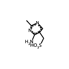 Cc1ncc(CS(=O)(=O)O)c(N)n1